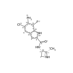 C[C@@H]1NC[C@@H]1NC(=O)c1cc2cc(Cl)c(P)c(F)c2[nH]1